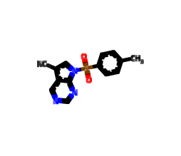 Cc1ccc(S(=O)(=O)n2cc(C#N)c3cncnc32)cc1